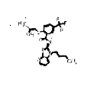 CCCCn1/c(=N/C(=O)c2cc(C(F)(F)F)ccc2OC[C@H](C)O)sc2ncccc21